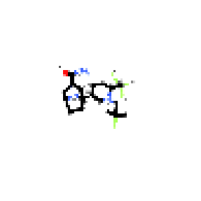 CC(C)(F)CN1C[C@@H](C23CCC(CC(C(N)=O)C2)N3)CCC1C(F)(F)F